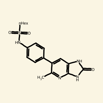 CCCCCCS(=O)(=O)Nc1ccc(-c2cc3[nH]c(=O)[nH]c3nc2C)cc1